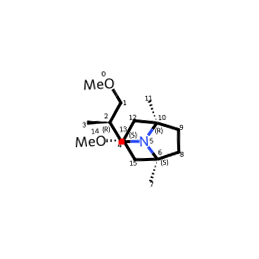 COC[C@H](C)CN1[C@@]2(C)CC[C@]1(C)C[C@@H](OC)C2